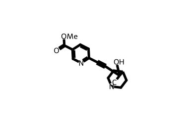 COC(=O)c1ccc(C#CC2(O)CN3CCC2CC3)nc1